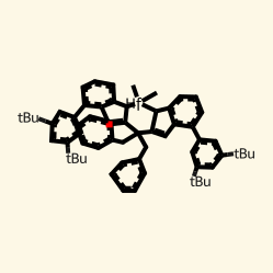 CC(C)(C)c1cc(-c2cccc3c2C=C2[CH]3[Hf]([CH3])([CH3])[CH]3C(=Cc4c(-c5cc(C(C)(C)C)cc(C(C)(C)C)c5)cccc43)C2(Cc2ccccc2)Cc2ccccc2)cc(C(C)(C)C)c1